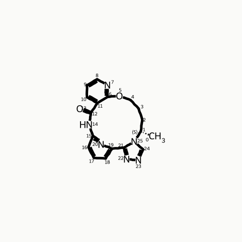 C[C@H]1CCCOc2ncccc2C(=O)Nc2cccc(n2)-c2nncn21